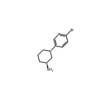 N[C@H]1CCCN(c2ccc(Br)nc2)C1